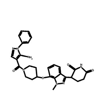 Cn1nc(C2CCC(=O)NC2=O)c2cccc(OC3CCN(C(=O)c4cnn(-c5ccccc5)c4N)CC3)c21